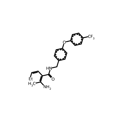 CC/C=C\C(C(=O)NCc1ccc(Oc2ccc(C(F)(F)F)cc2)cc1)=C(/C)N